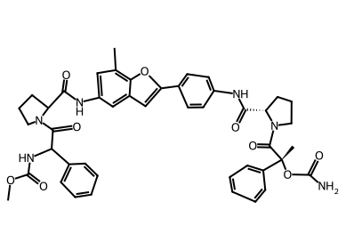 COC(=O)NC(C(=O)N1CCCC1C(=O)Nc1cc(C)c2oc(-c3ccc(NC(=O)[C@@H]4CCCN4C(=O)[C@](C)(OC(N)=O)c4ccccc4)cc3)cc2c1)c1ccccc1